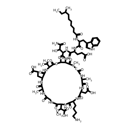 CCC(C)CCCCCCC(=O)NC(Cc1c[nH]c2ccccc12)C(=O)NC(CCC(=O)O)C(=O)NC(C(=O)NC1C(=O)N(C)CC(=O)NC(C)C(=O)NC(CC(=O)O)C(=O)NC(CCCCN)C(=O)NC(C(OC)C(=O)O)C(=O)NCC(=O)NC(C)C(=O)NC(CCC(=O)O)C(=O)NC(C(C)C)C(=O)OC1C)C(O)C(N)=O